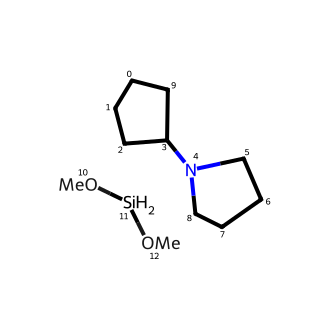 C1CCC(N2CCCC2)C1.CO[SiH2]OC